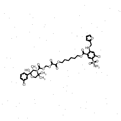 C[C@@H]1N(C(=O)OCOC(=O)C(=O)OCCCCCCOC(=O)c2cc(S(N)(=O)=O)c(Cl)cc2NCc2ccco2)C(C)(C)CO[C@@]1(O)c1cccc(Cl)c1